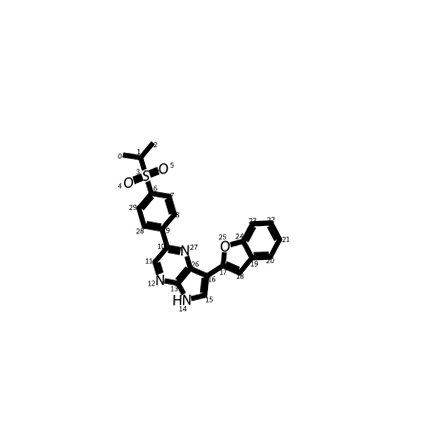 CC(C)S(=O)(=O)c1ccc(-c2cnc3[nH]cc(-c4cc5ccccc5o4)c3n2)cc1